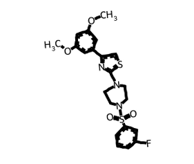 COc1cc(OC)cc(-c2csc(N3CCN(S(=O)(=O)c4cccc(F)c4)CC3)n2)c1